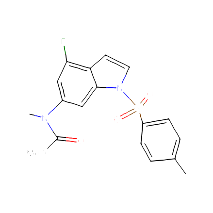 COC(=O)N(C)c1cc(F)c2ccn(S(=O)(=O)c3ccc(C)cc3)c2c1